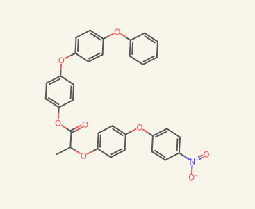 CC(Oc1ccc(Oc2ccc([N+](=O)[O-])cc2)cc1)C(=O)Oc1ccc(Oc2ccc(Oc3ccccc3)cc2)cc1